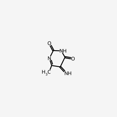 CC1=NC(=O)NC(=O)C1=N